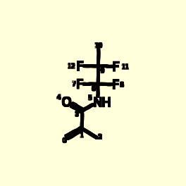 C=C(C)C(=O)NC(F)(F)C(C)(F)F